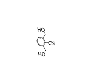 N#Cc1c(CO)cccc1CO